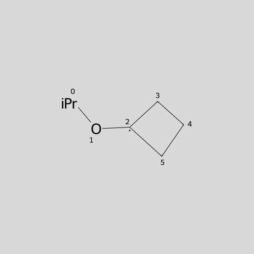 CC(C)O[C]1CCC1